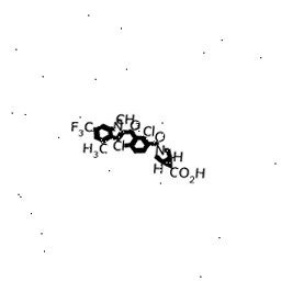 Cc1cc(C(F)(F)F)cc2c1cc(C(=O)c1c(Cl)ccc(C(=O)N3C[C@@H]4[C@H](C3)[C@H]4C(=O)O)c1Cl)n2C